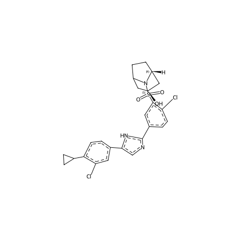 O=S(=O)(c1cc(-c2ncc(-c3ccc(C4CC4)c(Cl)c3)[nH]2)ccc1Cl)N1C2CC[C@@H]1C[C@@H](O)C2